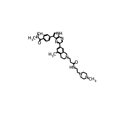 Cc1cc(-c2cnc3[nH]cc(-c4ccc(C(=O)N(C)C)cc4)c3n2)cc2c1CCN(CCC(=O)NCCN1CCN(C)CC1)C2